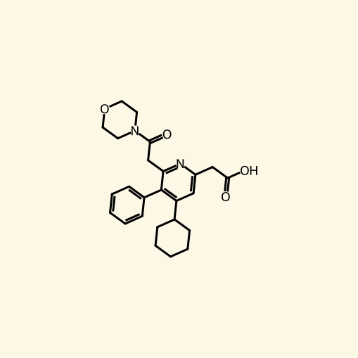 O=C(O)Cc1cc(C2CCCCC2)c(-c2ccccc2)c(CC(=O)N2CCOCC2)n1